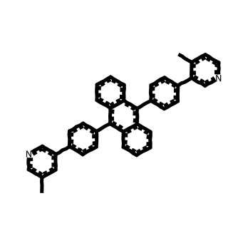 Cc1cncc(-c2ccc(-c3c4ccccc4c(-c4ccc(-c5cnccc5C)cc4)c4ccccc34)cc2)c1